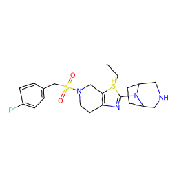 CC[SH]1C(N2C3CCC2CNC3)=NC2=C1CN(S(=O)(=O)Cc1ccc(F)cc1)CC2